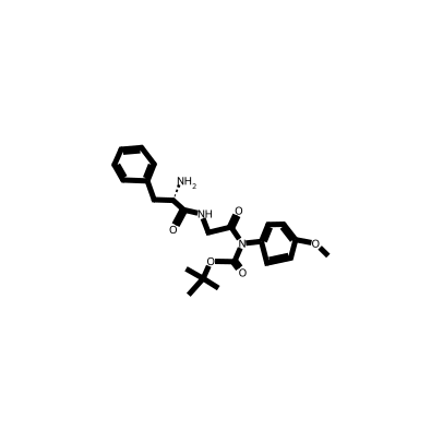 COc1ccc(N(C(=O)CNC(=O)[C@@H](N)Cc2ccccc2)C(=O)OC(C)(C)C)cc1